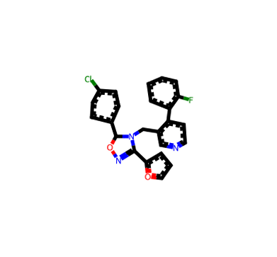 Fc1ccccc1-c1ccncc1CN1C(c2ccco2)=NOC1c1ccc(Cl)cc1